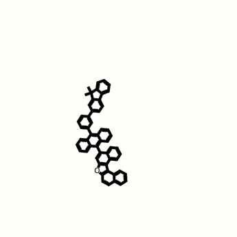 CC1(C)c2ccccc2-c2ccc(-c3cccc(-c4c5ccccc5c(-c5cc6oc7ccc8ccccc8c7c6c6ccccc56)c5ccccc45)c3)cc21